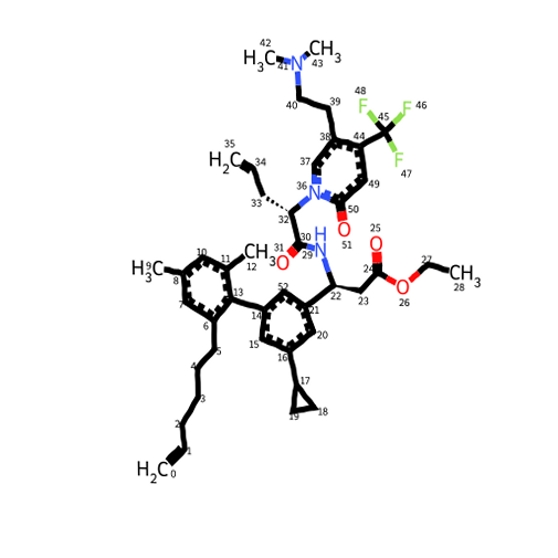 C=CCCCCc1cc(C)cc(C)c1-c1cc(C2CC2)cc([C@H](CC(=O)OCC)NC(=O)[C@H](CC=C)n2cc(CCN(C)C)c(C(F)(F)F)cc2=O)c1